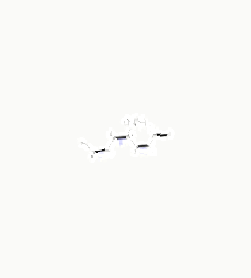 C=C\C=C/C(N)=C\C=C/C